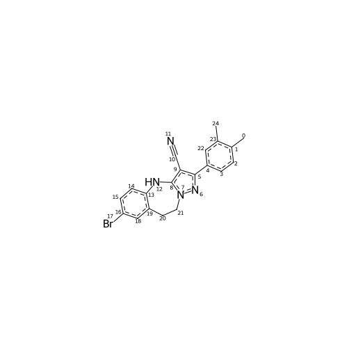 Cc1ccc(-c2nn3c(c2C#N)Nc2ccc(Br)cc2CC3)cc1C